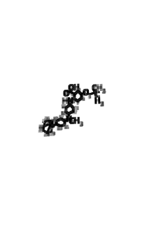 CC(C)COc1ccc(Nc2ccc(N(C)c3ccc(C45CC6CC(CC(C6)C4)C5)cc3)cc2)c(C(=O)O)c1